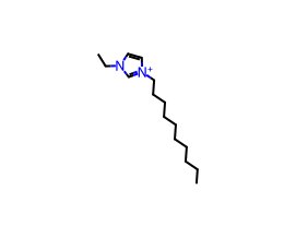 CCCCCCCCCC[n+]1ccn(CC)c1